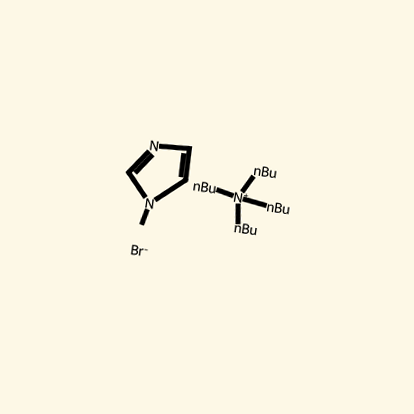 CCCC[N+](CCCC)(CCCC)CCCC.Cn1ccnc1.[Br-]